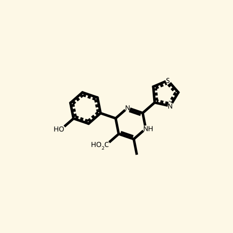 CC1=C(C(=O)O)C(c2cccc(O)c2)N=C(c2cscn2)N1